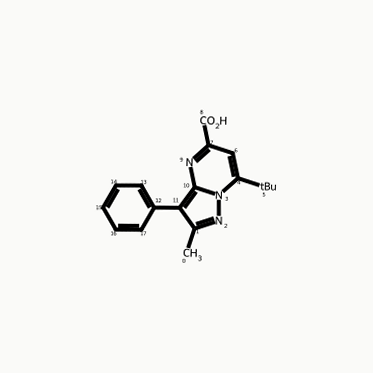 Cc1nn2c(C(C)(C)C)cc(C(=O)O)nc2c1-c1ccccc1